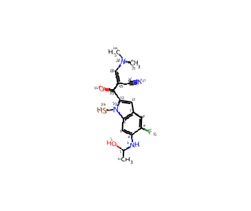 CC(O)Nc1cc2c(cc1F)cc(C(=O)/C(C#N)=C/N(C)C)n2S